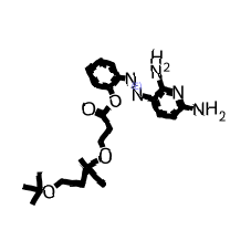 CC(C)(C)OCCC(C)(C)OCCC(=O)Oc1ccccc1/N=N/c1ccc(N)nc1N